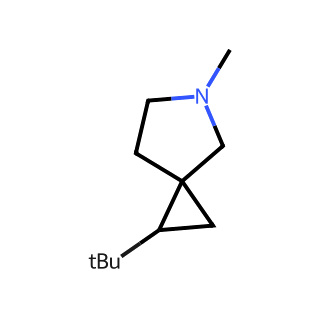 CN1CCC2(CC2C(C)(C)C)C1